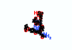 CCC(C)(C)C(=O)OCc1ccc(NC(=O)[C@H](CCCNC(N)=O)NC(=O)C(NC(=O)CCN(CCOCCS(=O)(=O)O)C(=O)CN2C(=O)C=CC2=O)C(C)C)cc1